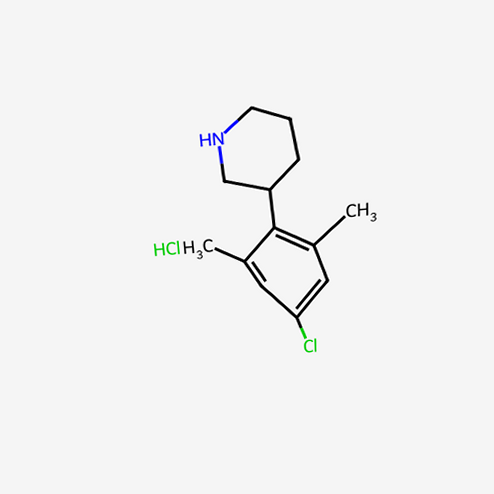 Cc1cc(Cl)cc(C)c1C1CCCNC1.Cl